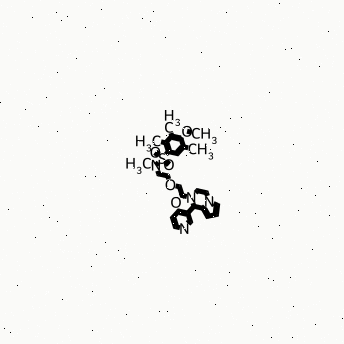 COc1c(C)cc(S(=O)(=O)N(C)CCOCC(=O)N2CCn3cccc3C2c2cccnc2)c(C)c1C